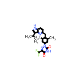 Cc1cc(-n2nc(C(F)F)c(=O)[nH]c2=O)cc(C)c1Cc1ccc2[nH]cc(C(C)C)c2n1